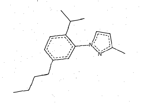 CCCCc1ccc(C(C)C)c(-n2ccc(C)n2)c1